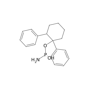 NP(O)OC1(c2ccccc2)CCCCC1c1ccccc1